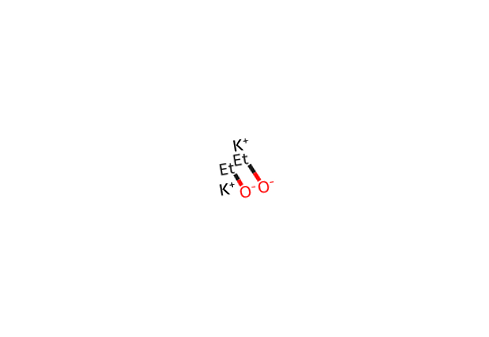 CC[O-].CC[O-].[K+].[K+]